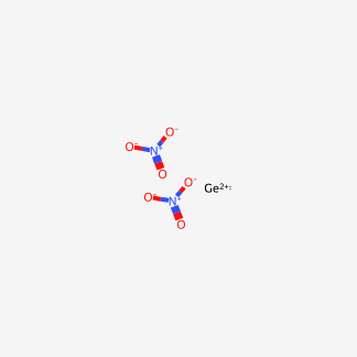 O=[N+]([O-])[O-].O=[N+]([O-])[O-].[Ge+2]